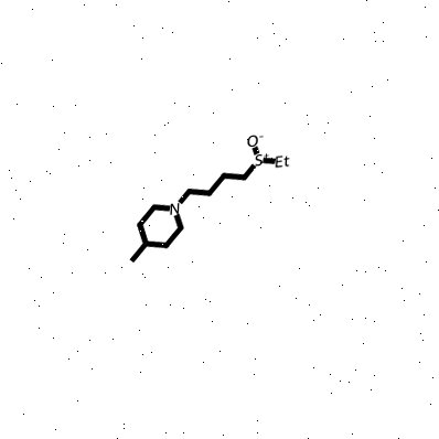 CC[S+]([O-])CCCCN1CCC(C)CC1